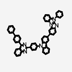 c1ccc(-c2ccc(-c3nc(-c4ccc(-n5c6ccccc6c6cc(-c7ccc8nc9n(-c%10ccccc%10)c%10ccccc%10n9c8c7)ccc65)cc4)nc4ccccc34)cc2)cc1